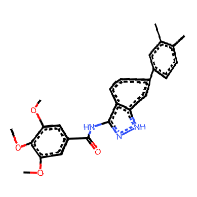 COc1cc(C(=O)Nc2n[nH]c3cc(-c4ccc(C)c(C)c4)ccc23)cc(OC)c1OC